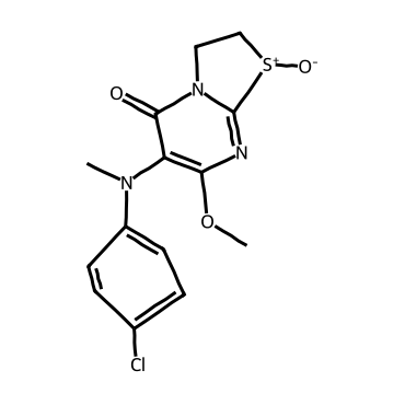 COc1nc2n(c(=O)c1N(C)c1ccc(Cl)cc1)CC[S+]2[O-]